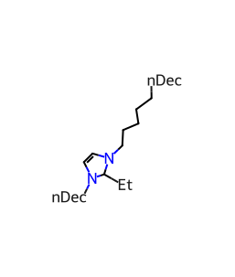 CCCCCCCCCCCCCCCN1C=CN(CCCCCCCCCC)C1CC